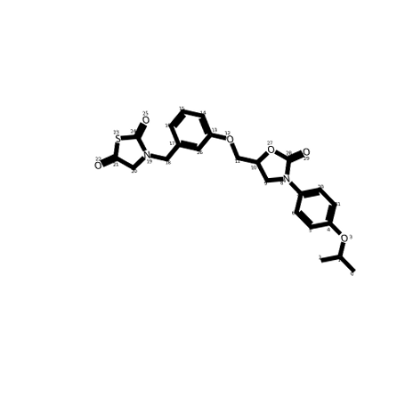 CC(C)Oc1ccc(N2CC(COc3cccc(CN4CC(=O)SC4=O)c3)OC2=O)cc1